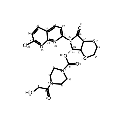 CCC(=O)N1CCN(C(=O)O[C@H]2C3SCCSC3C(=O)N2c2ccc3ccc(Cl)nc3n2)CC1